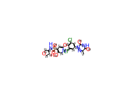 Cc1nn(-c2cc(Cl)c(Oc3cc(S(=O)(=O)N[C@H]4CCOC4)c(O)cn3)c(Cl)c2)c(=O)[nH]c1=O